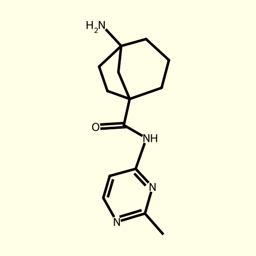 Cc1nccc(NC(=O)C23CCCC(N)(CC2)C3)n1